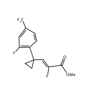 COC(=O)C(F)=CC1(c2ccc(C(F)(F)F)cc2F)CC1